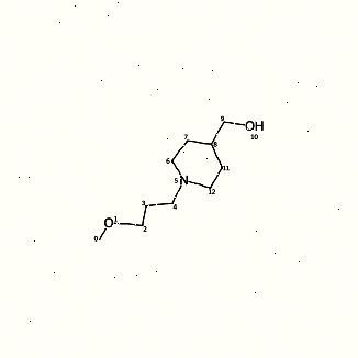 COCCCN1CCC(CO)CC1